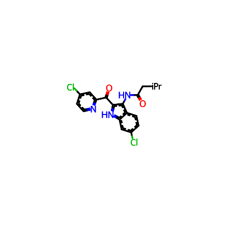 CC(C)CC(=O)Nc1c(C(=O)c2cc(Cl)ccn2)[nH]c2cc(Cl)ccc12